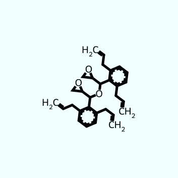 C=CCc1cccc(CC=C)c1C(OC(c1c(CC=C)cccc1CC=C)C1CO1)C1CO1